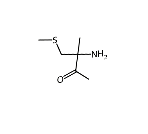 CSCC(C)(N)C(C)=O